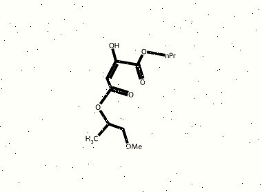 CCCOC(=O)/C(O)=C\C(=O)OC(C)COC